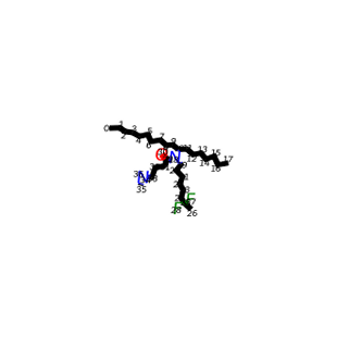 CCCCCCCCCCC(CCCCCCC)N(CCCCCCC(C)(F)F)C(=O)CCCN(C)C